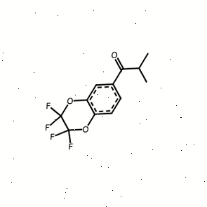 CC(C)C(=O)c1ccc2c(c1)OC(F)(F)C(F)(F)O2